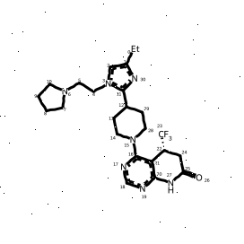 CCc1cn(CCN2CCCC2)c(C2CCN(c3ncnc4c3[C@H](C(F)(F)F)CC(=O)N4)CC2)n1